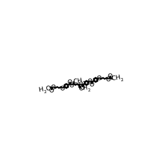 C=CC(=O)OCCCCOc1ccc(C(=O)O/C(C=C)=C/C=C(\C=C)OC(=O)c2ccc(OC(=O)c3ccc(OCCCCOC(=O)C=C)cc3)cc2)cc1